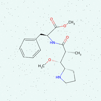 COC(=O)[C@H](Cc1ccccc1)NC(=O)[C@H](C)[C@@H](OC)[C@@H]1CCCN1